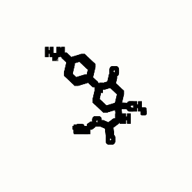 CC1(NC(=O)OC(C)(C)C)CCN(c2ccc(N)cc2)C(=O)C1